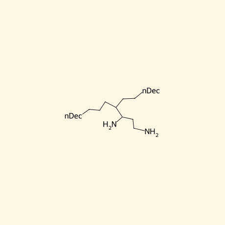 CCCCCCCCCCCCCC(CCCCCCCCCCCC)C(N)CCN